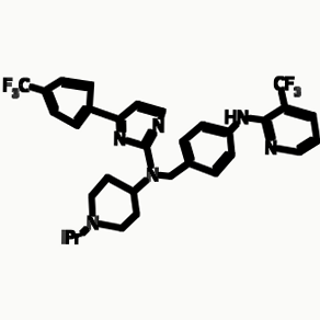 CC(C)N1CCC(N(Cc2ccc(Nc3ncccc3C(F)(F)F)cc2)c2nccc(-c3ccc(C(F)(F)F)cc3)n2)CC1